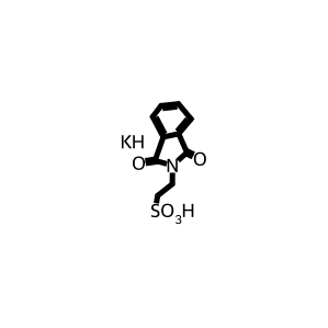 O=C1c2ccccc2C(=O)N1CCS(=O)(=O)O.[KH]